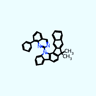 CC1(C)c2cc3ccccc3cc2-c2c1ccc1c3ccccc3n(-c3ncc4cccc(-c5ccccc5)c4n3)c21